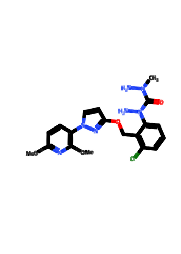 COc1ccc(-n2ccc(OCc3c(Cl)cccc3N(N)C(=O)N(C)N)n2)c(OC)n1